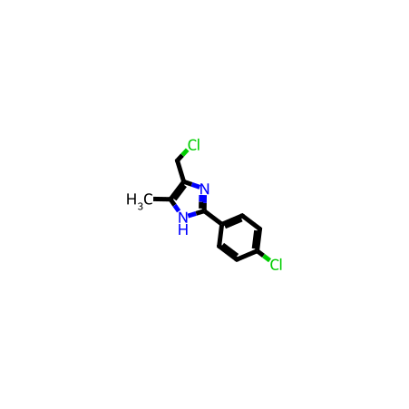 Cc1[nH]c(-c2ccc(Cl)cc2)nc1CCl